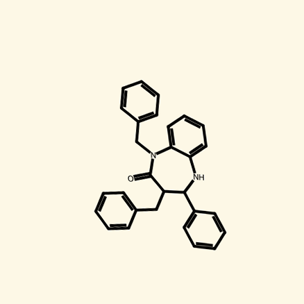 O=C1C(Cc2ccccc2)C(c2ccccc2)Nc2ccccc2N1Cc1ccccc1